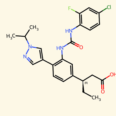 CC[C@H](CC(=O)O)c1ccc(-c2cnn(C(C)C)c2)c(NC(=O)Nc2ccc(Cl)cc2F)c1